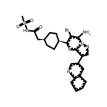 CS(=O)(=O)NC(=O)C[C@H]1CC[C@@H](c2nc3c(-c4cnc5ccccc5c4)cnn3c(N)c2Br)CC1